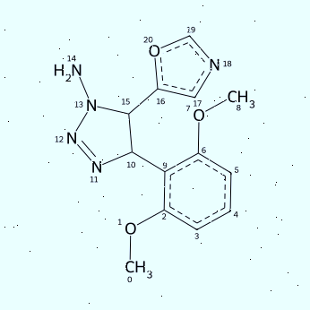 COc1cccc(OC)c1C1N=NN(N)C1c1cnco1